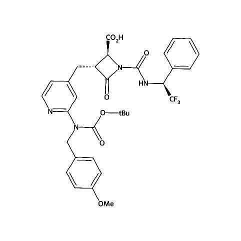 COc1ccc(CN(C(=O)OC(C)(C)C)c2cc(C[C@H]3C(=O)N(C(=O)N[C@@H](c4ccccc4)C(F)(F)F)[C@@H]3C(=O)O)ccn2)cc1